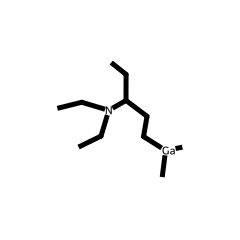 CCC(C[CH2][Ga]([CH3])[CH3])N(CC)CC